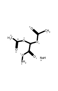 BOC(=O)C(OC(C)=O)OC(C)=O.[NaH]